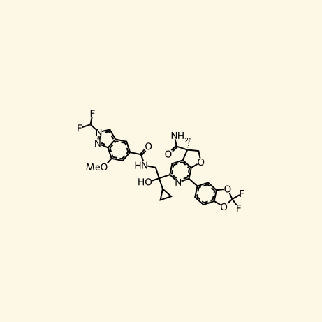 COc1cc(C(=O)NCC(O)(c2cc3c(c(-c4ccc5c(c4)OC(F)(F)O5)n2)OC[C@]3(C)C(N)=O)C2CC2)cc2cn(C(F)F)nc12